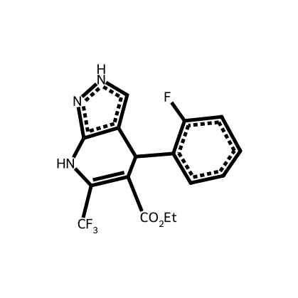 CCOC(=O)C1=C(C(F)(F)F)Nc2n[nH]cc2C1c1ccccc1F